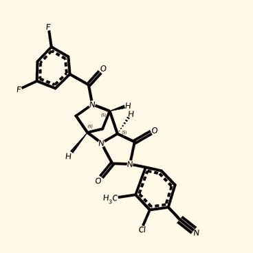 Cc1c(N2C(=O)[C@@H]3[C@@H]4C[C@@H](CN4C(=O)c4cc(F)cc(F)c4)N3C2=O)ccc(C#N)c1Cl